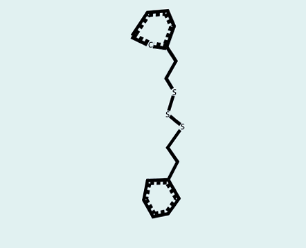 c1ccc(CCSSSCCc2ccccc2)cc1